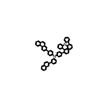 c1cc(-c2ccc3ccccc3c2)cc(N(c2ccc(-c3ccc4c(ccc5ccccc54)c3)cc2)c2ccc(-c3ccccc3-c3ccccc3-n3c4ccccc4c4ccccc43)cc2)c1